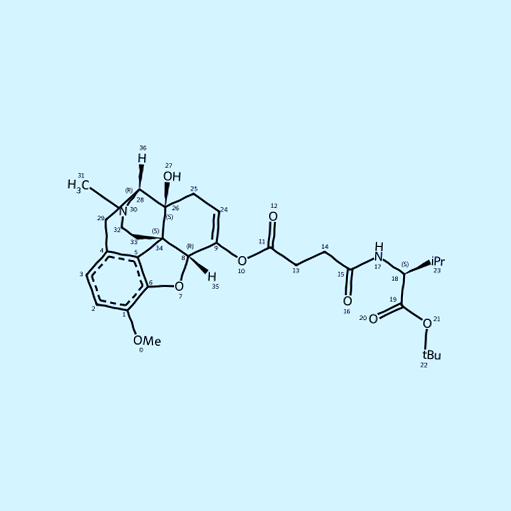 COc1ccc2c3c1O[C@H]1C(OC(=O)CCC(=O)N[C@H](C(=O)OC(C)(C)C)C(C)C)=CC[C@@]4(O)[C@@H](C2)N(C)CC[C@]314